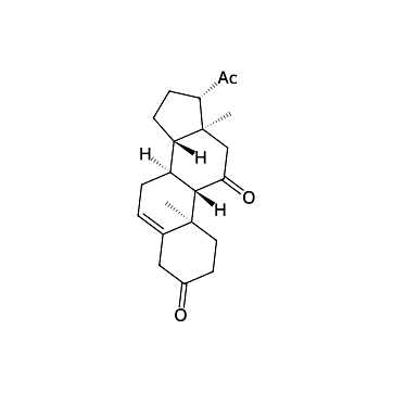 CC(=O)[C@H]1CC[C@H]2[C@@H]3CC=C4CC(=O)CC[C@]4(C)[C@H]3C(=O)C[C@]12C